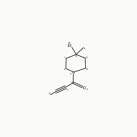 CC#CC(=O)N1CCC(C)(CC)CC1